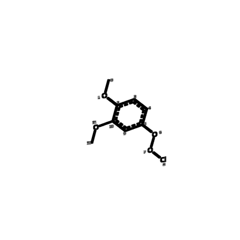 COc1ccc(OOCl)cc1OC